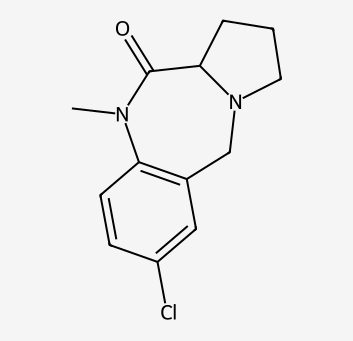 CN1C(=O)C2CCCN2Cc2cc(Cl)ccc21